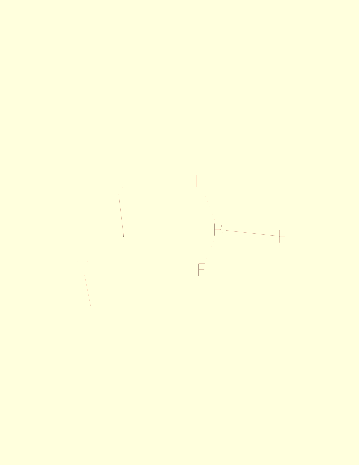 COC(C)OC.FB(F)F